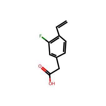 C=Cc1ccc(CC(=O)O)cc1F